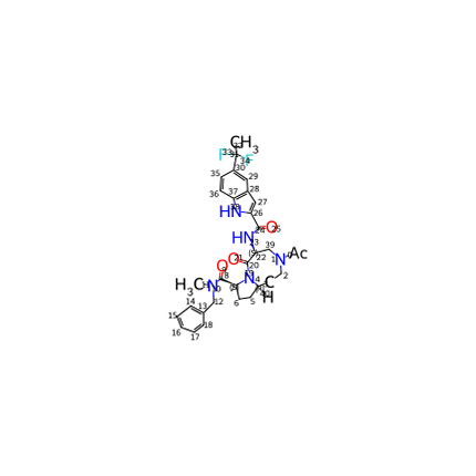 CC(=O)N1CC[C@H]2CC[C@@H](C(=O)N(C)Cc3ccccc3)N2C(=O)[C@@H](NC(=O)c2cc3cc(C(C)(F)F)ccc3[nH]2)C1